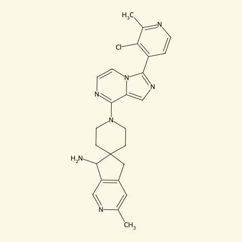 Cc1cc2c(cn1)C(N)C1(CCN(c3nccn4c(-c5ccnc(C)c5Cl)ncc34)CC1)C2